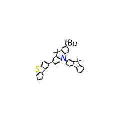 CC(C)(C)c1ccc2c(c1)C(C)(C)c1cc(-c3ccc4sc5ccccc5c4c3)ccc1N2c1ccc2c(c1)C(C)(C)c1ccccc1-2